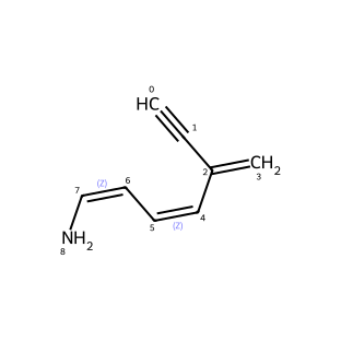 C#CC(=C)/C=C\C=C/N